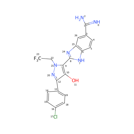 N=C(N)c1ccc2[nH]c(-c3c(O)c(-c4ccc(Cl)cc4)nn3CC(F)(F)F)nc2c1